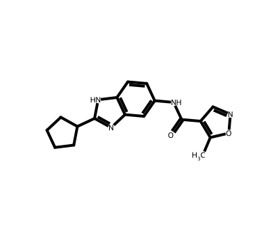 Cc1oncc1C(=O)Nc1ccc2[nH]c(C3CCCC3)nc2c1